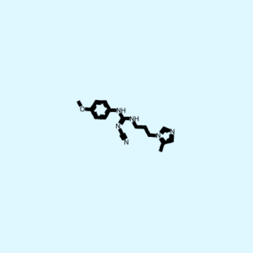 COc1ccc(NC(=NC#N)NCCCn2cncc2C)cc1